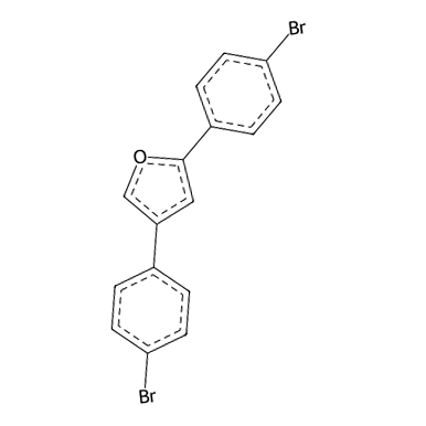 Brc1ccc(-c2coc(-c3ccc(Br)cc3)c2)cc1